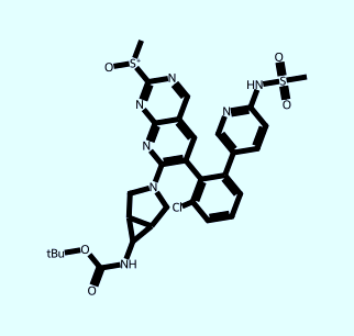 C[S+]([O-])c1ncc2cc(-c3c(Cl)cccc3-c3ccc(NS(C)(=O)=O)nc3)c(N3CC4C(C3)C4NC(=O)OC(C)(C)C)nc2n1